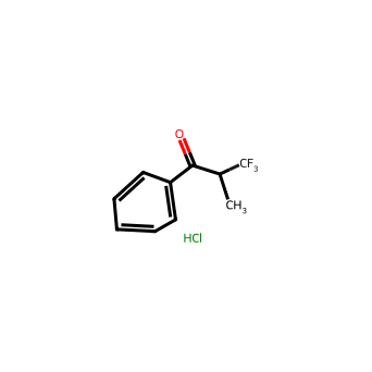 CC(C(=O)c1ccccc1)C(F)(F)F.Cl